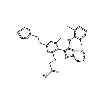 Cc1cccc(C)c1Nc1c(-c2c(C)cc(OCc3ccccc3)cc2OCC(N)=O)nc2ccccn12